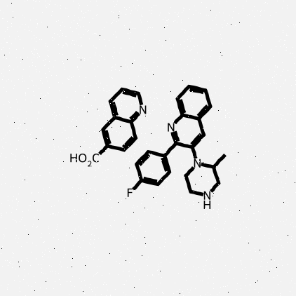 CC1CNCCN1c1cc2ccccc2nc1-c1ccc(F)cc1.O=C(O)c1ccc2ncccc2c1